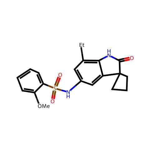 CCc1cc(NS(=O)(=O)c2ccccc2OC)cc2c1NC(=O)C21CCC1